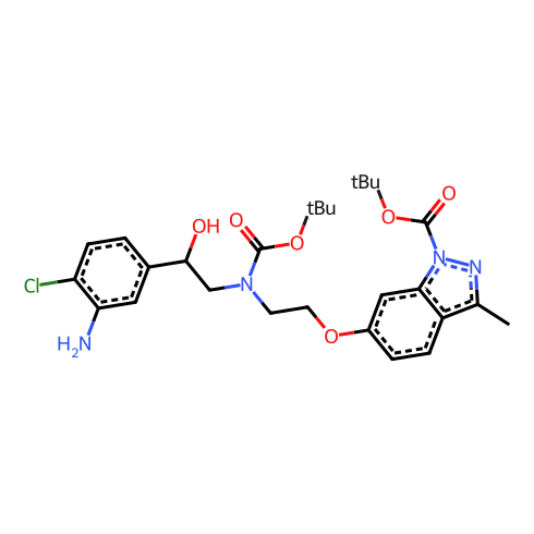 Cc1nn(C(=O)OC(C)(C)C)c2cc(OCCN(CC(O)c3ccc(Cl)c(N)c3)C(=O)OC(C)(C)C)ccc12